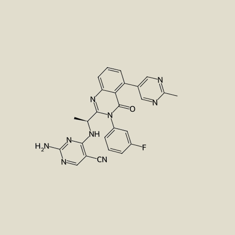 Cc1ncc(-c2cccc3nc([C@H](C)Nc4nc(N)ncc4C#N)n(-c4cccc(F)c4)c(=O)c23)cn1